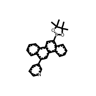 CC1(C)OB(c2cc3c4ccccc4c(-c4cccnc4)cc3c3ccccc23)OC1(C)C